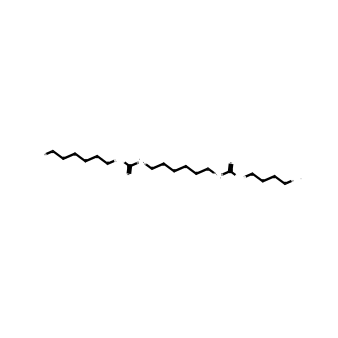 O=C(NCCCCCCNC(=O)OCCCCCCO)OCCCCO